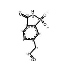 O=NCc1ccc2c(c1)S(=O)(=O)NC2=O